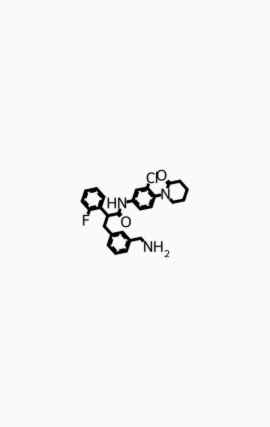 NCc1cccc(CC(C(=O)Nc2ccc(N3CCCCC3=O)c(Cl)c2)c2ccccc2F)c1